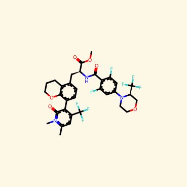 COC(=O)[C@H](Cc1ccc(-c2c(C(F)(F)F)cc(C)n(C)c2=O)c2c1CCCO2)NC(=O)c1c(F)cc(N2CCOC[C@@H]2C(F)(F)F)cc1F